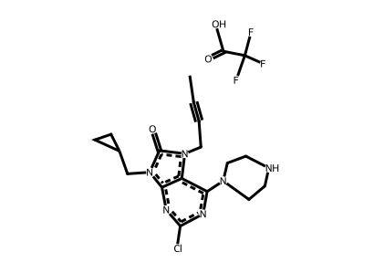 CC#CCn1c(=O)n(CC2CC2)c2nc(Cl)nc(N3CCNCC3)c21.O=C(O)C(F)(F)F